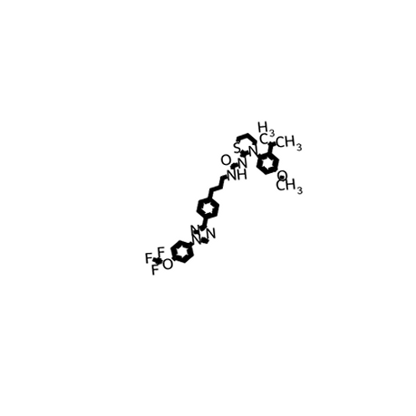 COc1ccc(N2CCCS/C2=N\C(=O)NCCCc2ccc(-c3ncn(-c4ccc(OC(F)(F)F)cc4)n3)cc2)c(C(C)C)c1